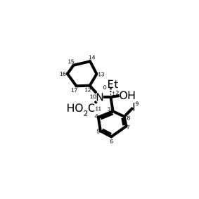 CC[C@](O)(c1ccccc1I)N(C(=O)O)C1CCCCC1